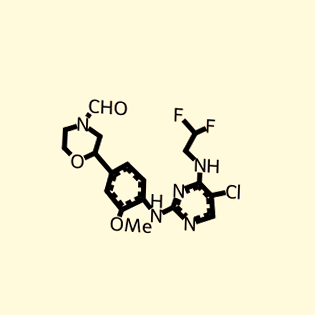 COc1cc(C2CN(C=O)CCO2)ccc1Nc1ncc(Cl)c(NCC(F)F)n1